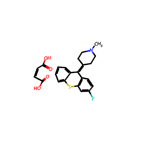 CN1CCC(=C2c3ccccc3Sc3cc(F)ccc32)CC1.O=C(O)/C=C\C(=O)O